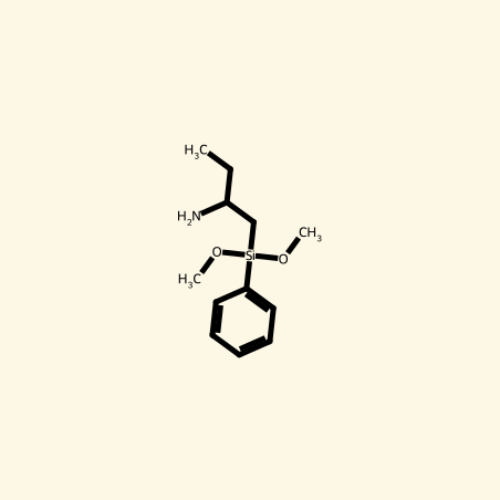 CCC(N)C[Si](OC)(OC)c1ccccc1